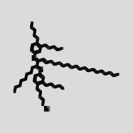 CCCCCCCCCCCCCCCCCC=CC(=Nc1ccc(CCCCC)c(CCCCC)c1)C(CCCCCCCC)=Nc1ccc(CCCCC)c(CCCCC)c1.[Ni]